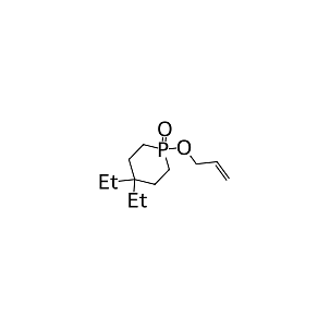 C=CCOP1(=O)CCC(CC)(CC)CC1